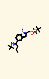 CCC/C(=N\C(C)(C)C)c1ccc2c(c1)cc(CO[Si](C)(C)C(C)(C)C)n2C